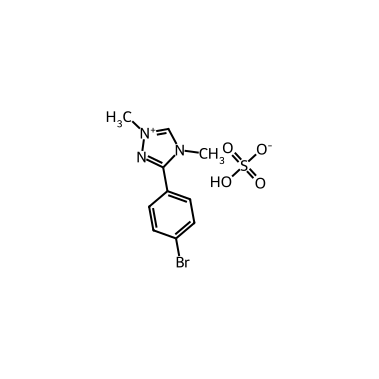 Cn1c[n+](C)nc1-c1ccc(Br)cc1.O=S(=O)([O-])O